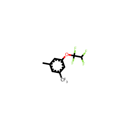 Cc1cc(OC(F)(F)C(F)F)cc(C(F)(F)F)c1